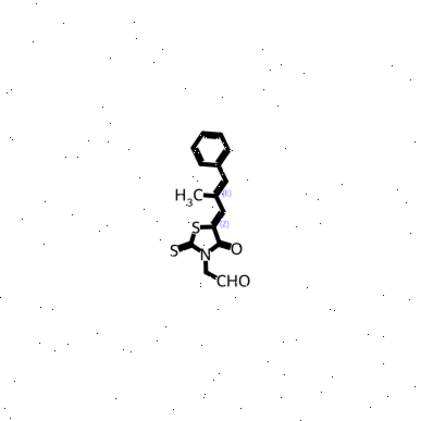 CC(/C=C1\SC(=S)N(CC=O)C1=O)=C\c1ccccc1